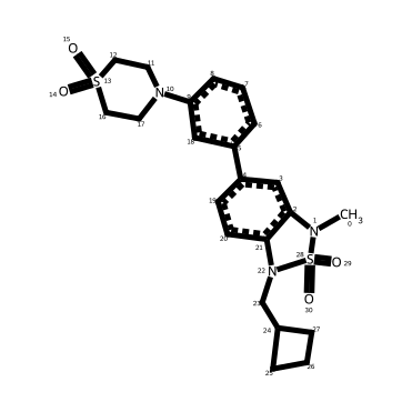 CN1c2cc(-c3cccc(N4CCS(=O)(=O)CC4)c3)ccc2N(CC2CCC2)S1(=O)=O